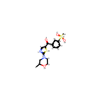 CC1CN(c2ncc(C(=O)c3cccc(S(C)(=O)=O)c3)s2)CCO1